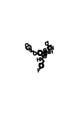 COc1cncc(NS(=O)(=O)c2ccc(OCCN3CCOCC3)cc2C(=O)NCc2ccc(F)cc2)c1